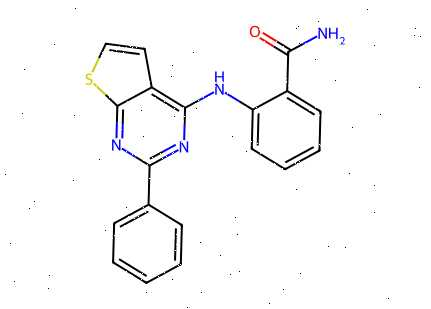 NC(=O)c1ccccc1Nc1nc(-c2ccccc2)nc2sccc12